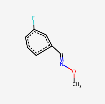 CON=Cc1cc[c]c(F)c1